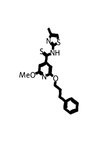 COc1cc(C(=S)Nc2nc(C)cs2)cc(OCCCc2ccccc2)n1